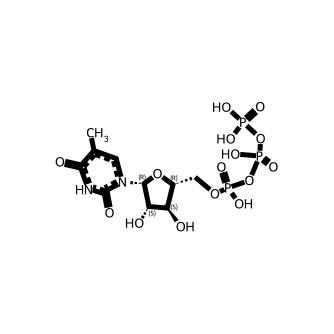 Cc1cn([C@@H]2O[C@H](COP(=O)(O)OP(=O)(O)OP(=O)(O)O)[C@@H](O)[C@@H]2O)c(=O)[nH]c1=O